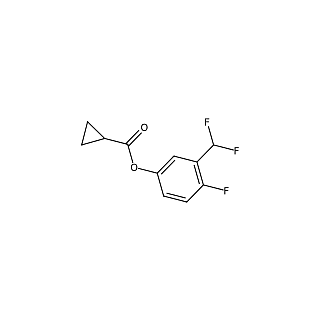 O=C(Oc1ccc(F)c(C(F)F)c1)C1CC1